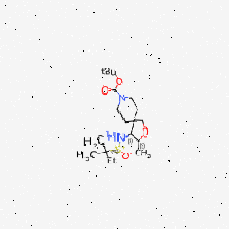 CCC(C)(C)[S@@+]([O-])N[C@@H]1[C@H](C)OCC12CCN(C(=O)OC(C)(C)C)CC2